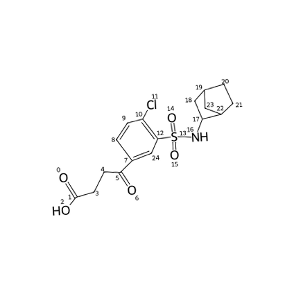 O=C(O)CCC(=O)c1ccc(Cl)c(S(=O)(=O)NC2CC3CCC2C3)c1